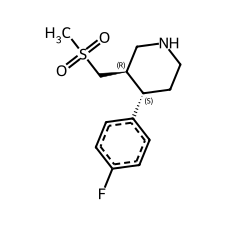 CS(=O)(=O)C[C@H]1CNCC[C@@H]1c1ccc(F)cc1